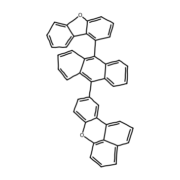 c1cc2c3c(cccc3c1)-c1cc(-c3c4ccccc4c(-c4cccc5oc6ccccc6c45)c4ccccc34)ccc1O2